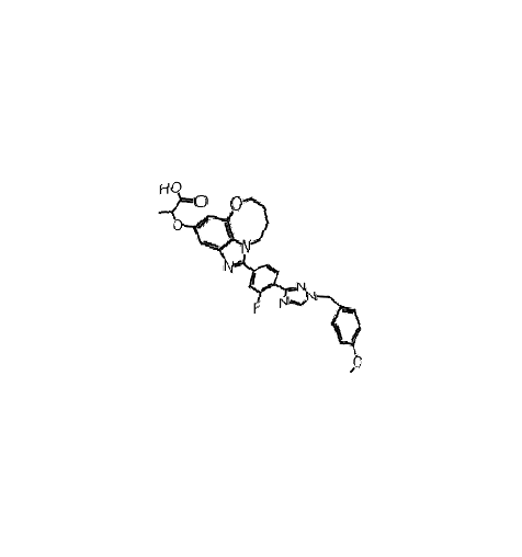 COc1ccc(Cn2cnc(-c3ccc(-c4nc5cc(OC(C)C(=O)O)cc6c5n4CCCCO6)cc3F)n2)cc1